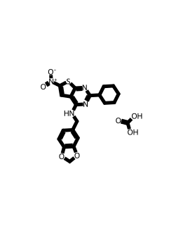 O=C(O)O.O=[N+]([O-])c1cc2c(NCc3ccc4c(c3)OCO4)nc(C3CCCCC3)nc2s1